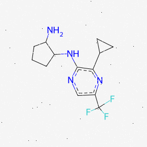 NC1CCCC1Nc1ncc(C(F)(F)F)nc1C1CC1